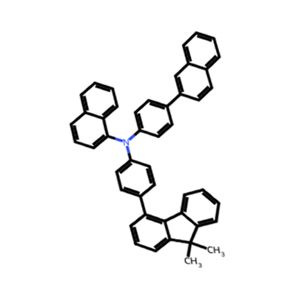 CC1(C)c2ccccc2-c2c(-c3ccc(N(c4ccc(-c5ccc6ccccc6c5)cc4)c4cccc5ccccc45)cc3)cccc21